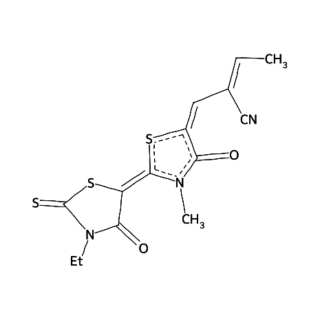 C/C=C(C#N)/C=c1/s/c(=C2\SC(=S)N(CC)C2=O)n(C)c1=O